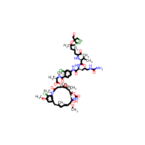 COc1cc2cc(c1Cl)N(C)C(=O)C[C@H](OC(=O)[C@H](C)N(C)C(=O)c1ccc(NC(=O)[C@H](CCCNC(N)=O)NC(=O)[C@@H](NC(C=O)CCCC(C)(C)OC(C=O)(CBr)CBr)C(C)C)cc1Cl)[C@]1(C)O[C@H]1[C@H](C)[C@@H]1C[C@@](O)(NC(=O)O1)[C@H](OC)/C=C/C=C(\C)C2